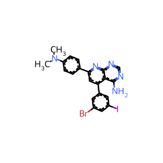 CN(C)c1ccc(-c2cc(-c3cc(Br)cc(I)c3)c3c(N)ncnc3n2)cc1